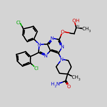 C[C@H](O)COc1nc(N2CCC(C)(C(N)=O)CC2)c2nc(-c3ccccc3Cl)n(-c3ccc(Cl)cc3)c2n1